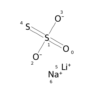 O=S([O-])([O-])=S.[Li+].[Na+]